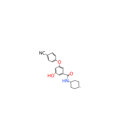 N#Cc1ccc(Oc2cc(O)cc(C(=O)NC3CC[CH]CC3)c2)cc1